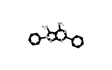 Nc1nc(-c2ccccc2)nc2nn(-c3ccccc3)c(N)c12